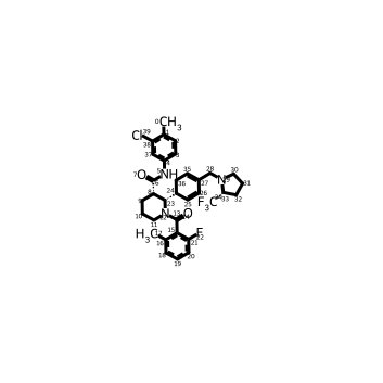 Cc1ccc(NC(=O)[C@H]2CCCN(C(=O)c3c(C)cccc3F)[C@H]2C2C=CC(CN3CCC[C@@H]3C(F)(F)F)=CC2)cc1Cl